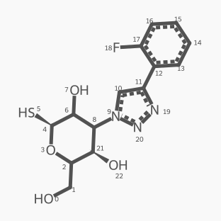 OCC1O[C@@H](S)C(O)C(n2cc(-c3ccccc3F)nn2)[C@H]1O